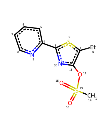 CCc1sc(-c2ccccn2)nc1OS(C)(=O)=O